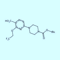 CC(C)(C)OC(=O)N1CCN(c2ccc(C(=O)O)c(OCC(F)(F)F)n2)CC1